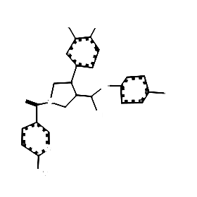 COc1ccc(C(=O)N2CC(c3ccc(Cl)c(Cl)c3)C(C(C)Oc3ccc(C(F)(F)F)cc3)C2)cn1